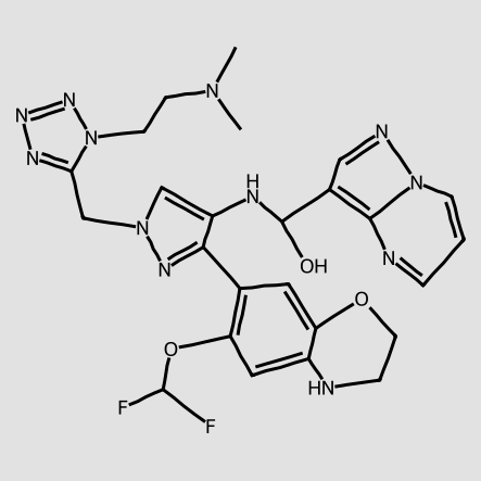 CN(C)CCn1nnnc1Cn1cc(NC(O)c2cnn3cccnc23)c(-c2cc3c(cc2OC(F)F)NCCO3)n1